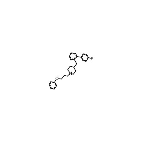 Fc1ccc(-c2ccccc2CC2CCN(CCCOc3ccccc3)CC2)cc1